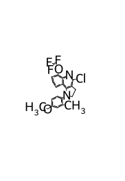 COc1ccc(N2CCc3c(Cl)nc4c(OC(F)(F)F)cccc4c32)c(C)c1